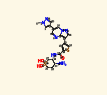 Cn1cc(-c2cnc3c(-c4csc(C(=O)N[C@H]5CS(O)(O)CC[C@@H]5N)c4)cnn3c2)cn1